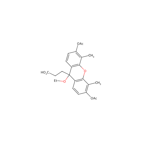 CCOC1(CCC(=O)O)c2ccc(OC(C)=O)c(C)c2Oc2c1ccc(OC(C)=O)c2C